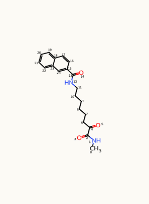 CNC(=O)C(=O)CCCCCCNC(=O)c1ccc2ccccc2c1